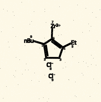 CCCCC1=CCC(CC)=[C]1[Zr+2].[Cl-].[Cl-]